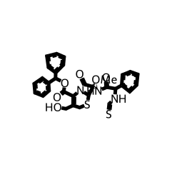 CO[C@@]1(NC(=O)C(NC=S)c2ccccc2)C(=O)N2C(C(=O)OC(c3ccccc3)c3ccccc3)=C(CO)CSC21